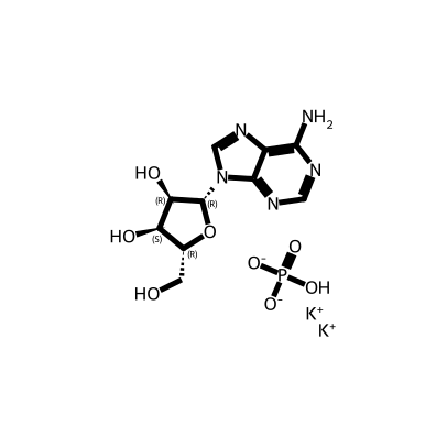 Nc1ncnc2c1ncn2[C@@H]1O[C@H](CO)[C@@H](O)[C@H]1O.O=P([O-])([O-])O.[K+].[K+]